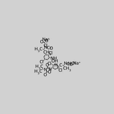 CC(C)N=C=O.CC(C)N=C=O.CC(C)n1c(=O)on(-c2cc(Cl)ccc2Cl)c1=O.O=C([O-])Cl.ONc1cc(Cl)ccc1Cl.[Na+].[Na+].[OH-]